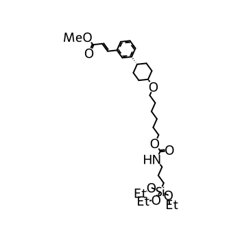 CCO[Si](CCCNC(=O)OCCCCCCO[C@H]1CC[C@H](c2cccc(/C=C/C(=O)OC)c2)CC1)(OCC)OCC